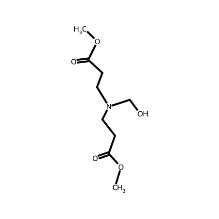 COC(=O)CCN(CO)CCC(=O)OC